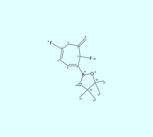 C=C1CC(F)=CC=C(B2OC(C)(C)C(C)(C)O2)C1F